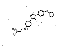 CN(C)CCNC1CCC(n2ccn(-c3ccc(OC4CCCC4)cc3)c2=O)CC1